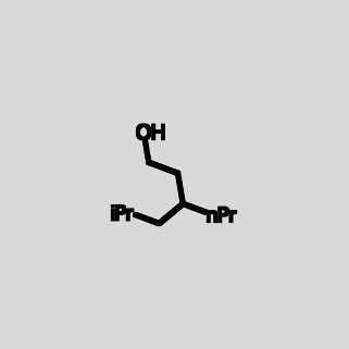 CCCC(CCO)CC(C)C